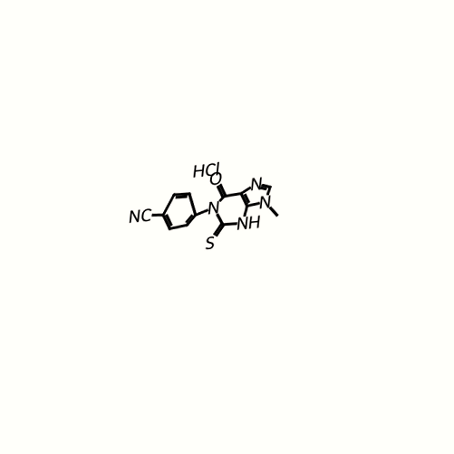 Cl.Cn1cnc2c(=O)n(-c3ccc(C#N)cc3)c(=S)[nH]c21